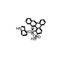 O=S(=O)(O)c1ccc2c3ccccc3c3cc4ccccc4cc3c2c1S(=O)(=O)O.c1ccc2[nH]ccc2c1